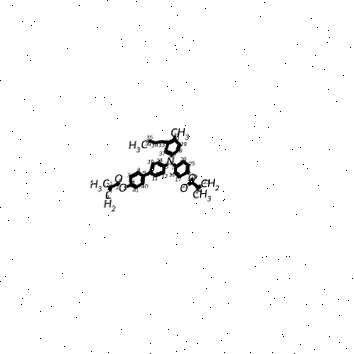 C=C(C)C(=O)Oc1ccc(-c2ccc(N(c3ccc(OC(=O)C(=C)C)cc3)c3ccc(C)c(CCCC)c3)cc2)cc1